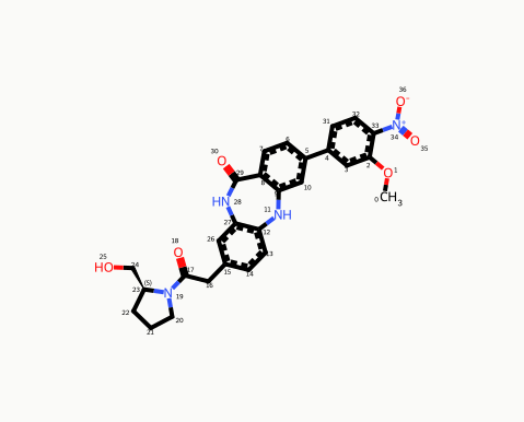 COc1cc(-c2ccc3c(c2)Nc2ccc(CC(=O)N4CCC[C@H]4CO)cc2NC3=O)ccc1[N+](=O)[O-]